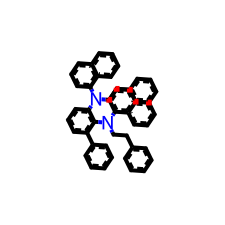 c1ccc(CCN(c2cccc(-c3ccccc3)c2N(CCc2ccccc2)c2cccc3ccccc23)c2cccc3ccccc23)cc1